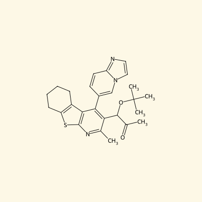 CC(=O)C(OC(C)(C)C)c1c(C)nc2sc3c(c2c1-c1ccc2nccn2c1)CCCC3